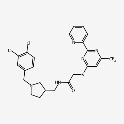 O=C(CSc1cc(C(F)(F)F)nc(-c2ccccn2)n1)NCC1CCN(Cc2ccc(Cl)c(Cl)c2)C1